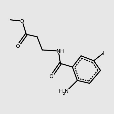 COC(=O)CCNC(=O)c1cc(I)ccc1N